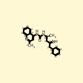 Cc1cc(NC(=O)N[C@@H](C)CC(=N)Cc2ccccc2)c2ccccc2n1